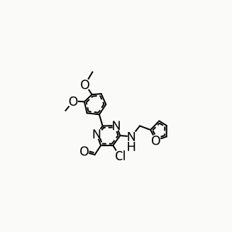 COc1ccc(-c2nc(C=O)c(Cl)c(NCc3ccco3)n2)cc1OC